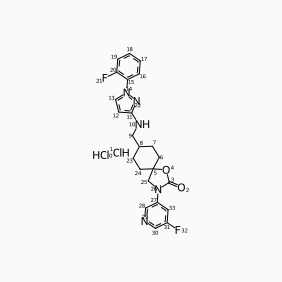 Cl.Cl.O=C1OC2(CCC(CNc3ccn(-c4ccccc4F)n3)CC2)CN1c1cncc(F)c1